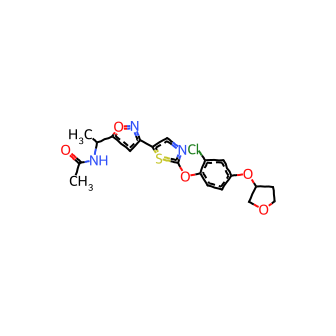 CC(=O)NC(C)c1cc(-c2cnc(Oc3ccc(OC4CCOC4)cc3Cl)s2)no1